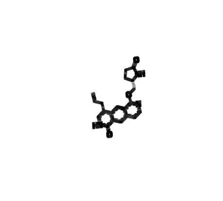 C=CCc1c[nH]c(=O)c2cc3ccnc(OC[C@@H]4CCC(=O)N4)c3cc12